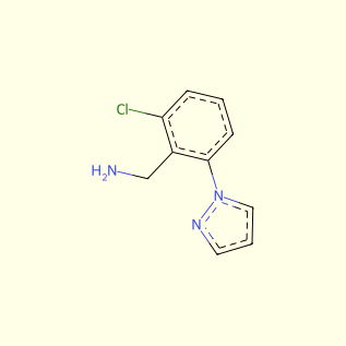 NCc1c(Cl)cccc1-n1cccn1